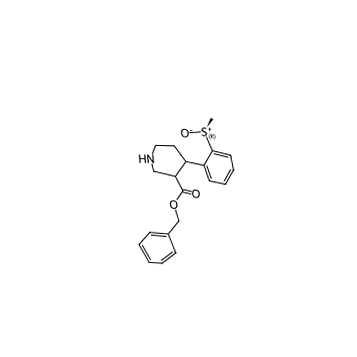 C[S@+]([O-])c1ccccc1C1CCNCC1C(=O)OCc1ccccc1